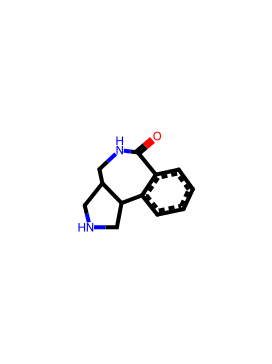 O=C1NCC2CNCC2c2ccccc21